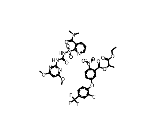 CCOC(=O)C(C)OC(=O)c1cc(Oc2ccc(C(F)(F)F)cc2Cl)ccc1[N+](=O)[O-].COc1cc(OC)nc(NC(=O)NS(=O)(=O)c2ncccc2C(=O)N(C)C)n1